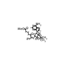 COC(=O)CCCC(=O)N(C[C@H]1O[C@@H](n2cnc3c(N)ncnc32)[C@@H]2OC(C)(C)O[C@@H]21)C(C)C